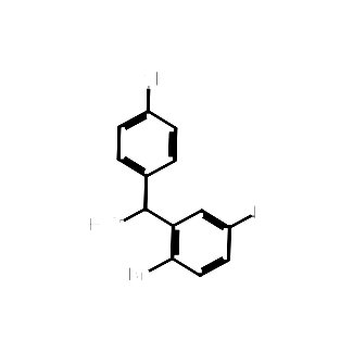 Fc1ccc(Br)c(C(P)c2ccc(Cl)cc2)c1